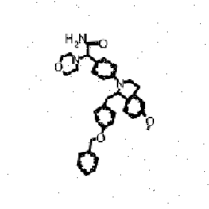 COc1ccc2c(c1)CCN(c1ccc(C(C(N)=O)N3CCOCC3)cc1)C2Cc1ccc(OCc2ccccc2)cc1